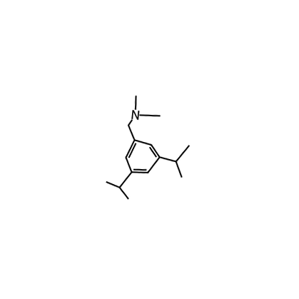 CC(C)c1cc(CN(C)C)cc(C(C)C)c1